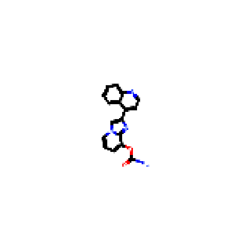 NC(=O)Oc1cccn2cc(-c3ccnc4ccccc34)nc12